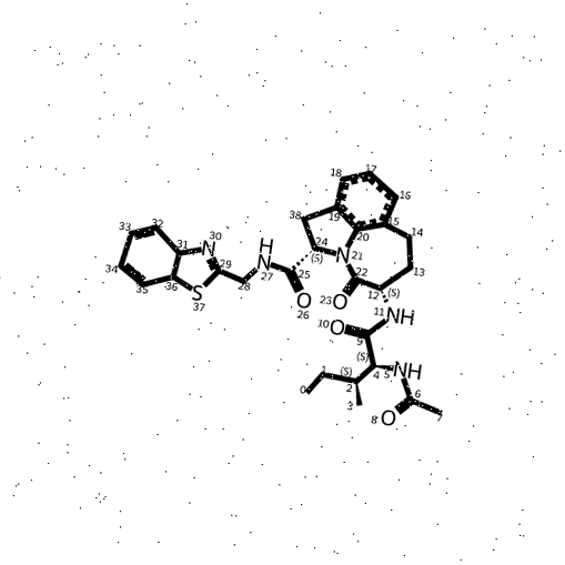 CC[C@H](C)[C@H](NC(C)=O)C(=O)N[C@H]1CCc2cccc3c2N(C1=O)[C@H](C(=O)NCC1=NC2C=CC=CC2S1)C3